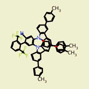 Cc1ccc(-c2ccc3c(c2)c2cc(-c4ccc(C)cc4)ccc2n3-c2cc(C#N)c(-c3c(C(F)(F)F)cccc3C(F)(F)F)cc2-n2c3ccc(-c4ccc(C)cc4)cc3c3cc(-c4ccc(C)cc4)ccc32)cc1